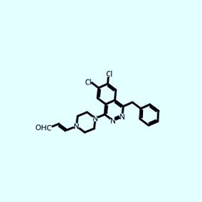 O=CC=CN1CCN(c2nnc(Cc3ccccc3)c3cc(Cl)c(Cl)cc23)CC1